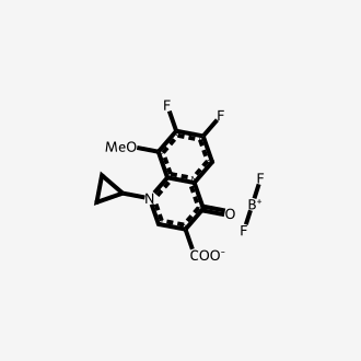 COc1c(F)c(F)cc2c(=O)c(C(=O)[O-])cn(C3CC3)c12.F[B+]F